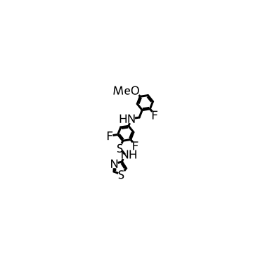 COc1ccc(F)c(CNc2cc(F)c(SNc3cscn3)c(F)c2)c1